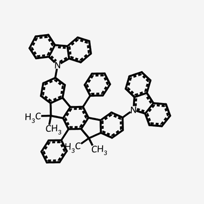 CC1(C)c2ccc(-n3c4ccccc4c4ccccc43)cc2-c2c(-c3ccccc3)c3c(c(-c4ccccc4)c21)C(C)(C)c1ccc(-n2c4ccccc4c4ccccc42)cc1-3